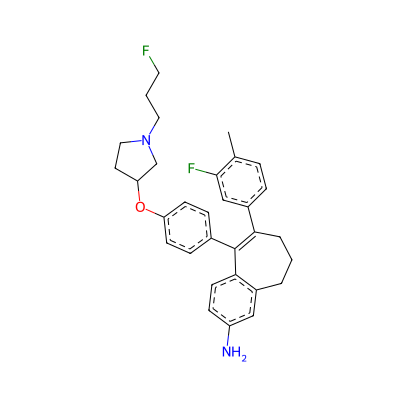 Cc1ccc(C2=C(c3ccc(OC4CCN(CCCF)C4)cc3)c3ccc(N)cc3CCC2)cc1F